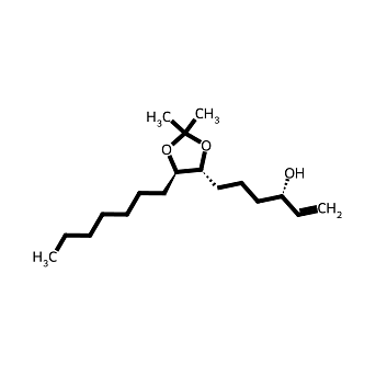 C=C[C@@H](O)CCC[C@H]1OC(C)(C)O[C@@H]1CCCCCCC